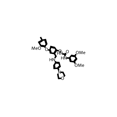 COc1cc(NC(=O)NOc2ccc(Oc3ccc(C)cc3OC)cc2CNc2ccc(N3CCOCC3)cc2)cc(OC)c1